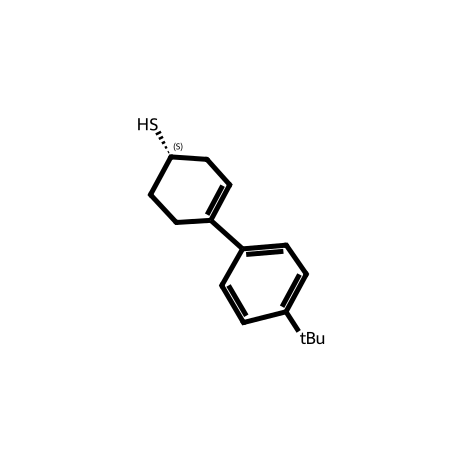 CC(C)(C)c1ccc(C2=CC[C@@H](S)CC2)cc1